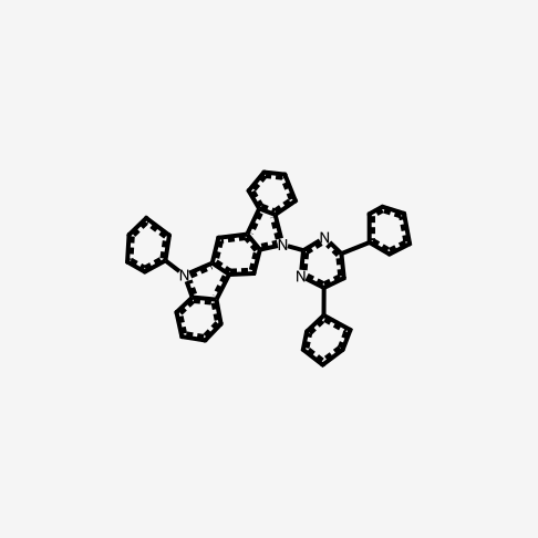 c1ccc(-c2cc(-c3ccccc3)nc(-n3c4ccccc4c4cc5c(cc43)c3ccccc3n5-c3ccccc3)n2)cc1